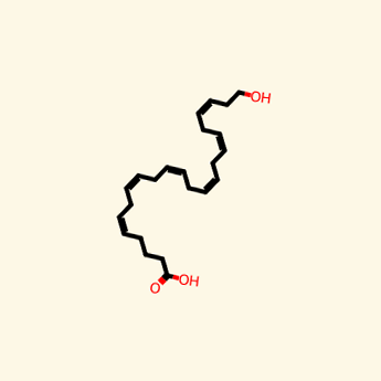 O=C(O)CCC/C=C\C/C=C\C/C=C\C/C=C\C/C=C\C/C=C\CCO